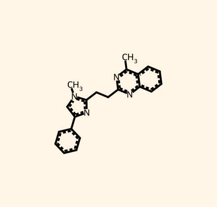 Cc1nc(CCc2nc(-c3ccccc3)cn2C)nc2ccccc12